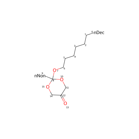 CCCCCCCCCCCCCCCCOC1(CCCCCCCCC)OCC(=O)CO1